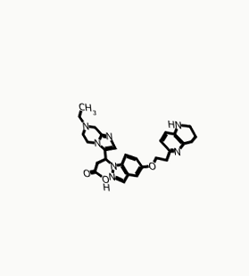 CCN1CCn2c(C(CC(=O)O)n3ncc4cc(OCCc5ccc6c(n5)CCCN6)ccc43)cnc2C1